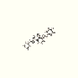 O=C(OCc1ccccc1)c1cccc(OCc2ccccc2)c1F